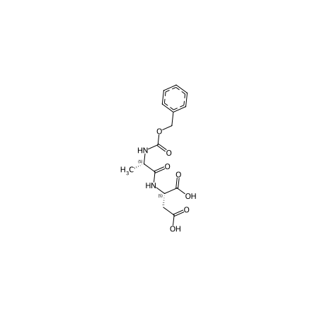 C[C@H](NC(=O)OCc1ccccc1)C(=O)N[C@@H](CC(=O)O)C(=O)O